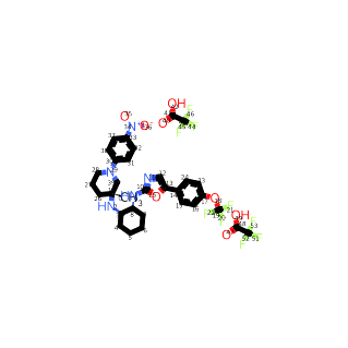 C[C@]1(N[C@@H]2CCCC[C@H]2Nc2ncc(-c3ccc(OC(F)(F)F)cc3)o2)CCCN(c2ccc([N+](=O)[O-])cc2)C1.O=C(O)C(F)(F)F.O=C(O)C(F)(F)F